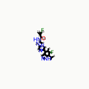 Cc1c(F)c(C(C)C)c2[nH]ncc2c1-c1cn2cc(NC(=O)C3CC3F)nc2cn1